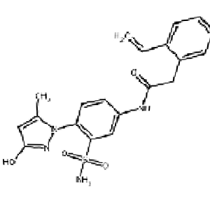 C=Cc1ccccc1CC(=O)Nc1ccc(-n2nc(O)cc2C)c(S(N)(=O)=O)c1